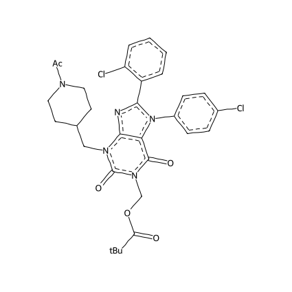 CC(=O)N1CCC(Cn2c(=O)n(COC(=O)C(C)(C)C)c(=O)c3c2nc(-c2ccccc2Cl)n3-c2ccc(Cl)cc2)CC1